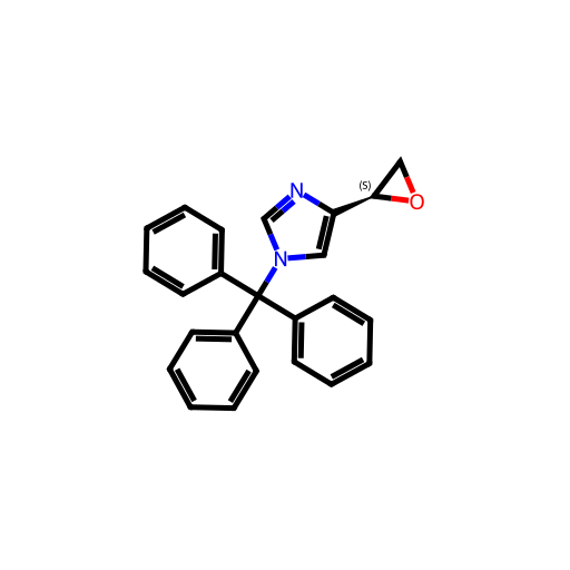 c1ccc(C(c2ccccc2)(c2ccccc2)n2cnc([C@H]3CO3)c2)cc1